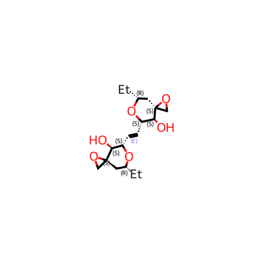 CC[C@@H]1C[C@]2(CO2)[C@@H](O)[C@H](/C=C/[C@@H]2O[C@H](CC)C[C@]3(CO3)[C@H]2O)O1